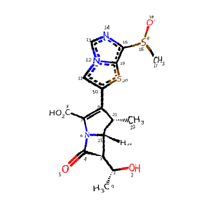 C[C@@H](O)[C@H]1C(=O)N2C(C(=O)O)=C(c3cn4cnc([S+](C)[O-])c4s3)[C@H](C)[C@H]12